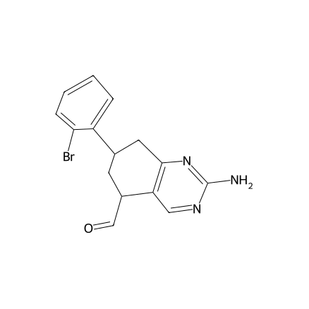 Nc1ncc2c(n1)CC(c1ccccc1Br)CC2C=O